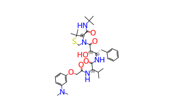 CC(C)[C@H](NC(=O)COc1cccc(N(C)C)c1)C(=O)N[C@@H](Cc1ccccc1)[C@H](O)C(=O)N1CSC(C)(C)[C@H]1C(=O)NC(C)(C)C